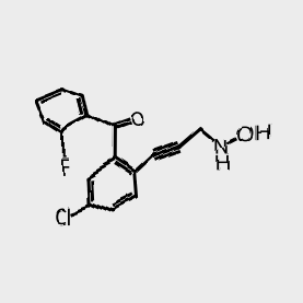 O=C(c1ccccc1F)c1cc(Cl)ccc1C#CCNO